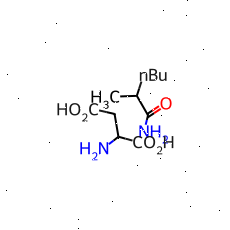 CCCCC(C)C(N)=O.NC(CC(=O)O)C(=O)O